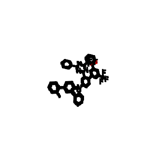 Cc1ccccc1-c1ccc2c(c1)c1ccccc1n2-c1ccc(-c2cc(C(F)(F)F)cc(C(F)(F)F)c2)c(-c2nc(-c3ccccc3)nc(-c3ccccc3)n2)c1